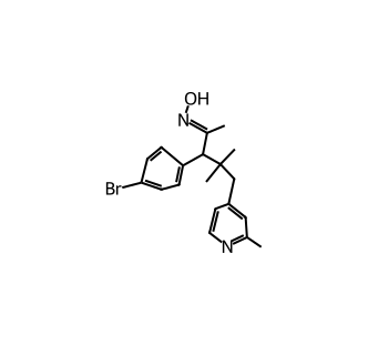 CC(=NO)C(c1ccc(Br)cc1)C(C)(C)Cc1ccnc(C)c1